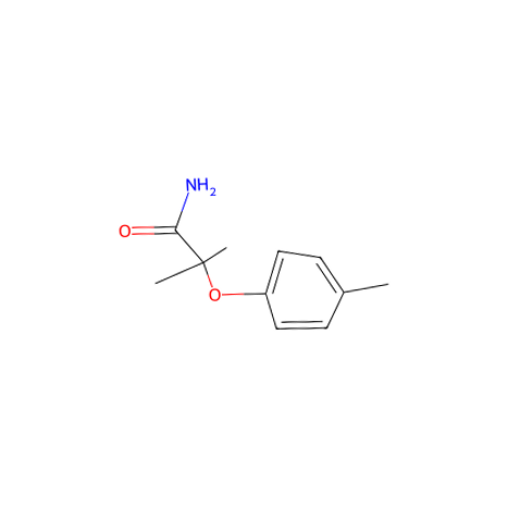 Cc1ccc(OC(C)(C)C(N)=O)cc1